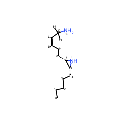 CCCCC[C@H]1N[C@H]1CC/C=C\C(C)(C)N